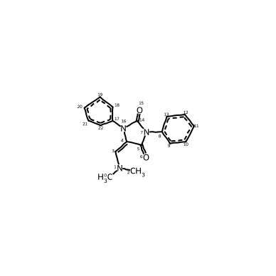 CN(C)C=C1C(=O)N(c2ccccc2)C(=O)N1c1ccccc1